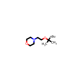 CCCCC(C)(C)OCCN1CCOCC1